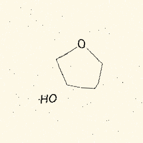 C1CCOC1.[OH]